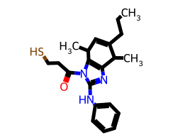 CCCC1=CC(C)c2c(nc(Nc3ccccc3)n2C(=O)CCS)C1C